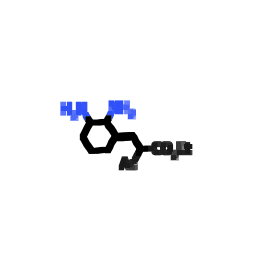 CCOC(=O)C(C=C1CCCC(N)C1N)C(C)=O